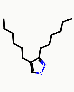 CCCCCCC1=C[N]N=C1CCCCCC